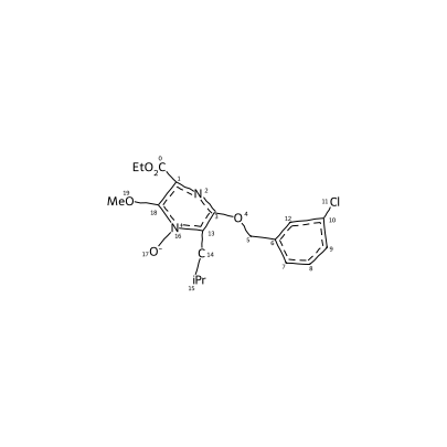 CCOC(=O)c1nc(OCc2cccc(Cl)c2)c(CC(C)C)[n+]([O-])c1OC